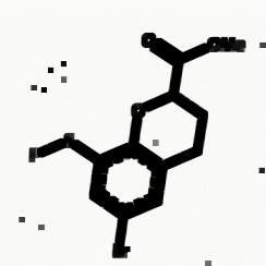 COC(=O)C1CCc2cc(Br)cc(SF)c2O1